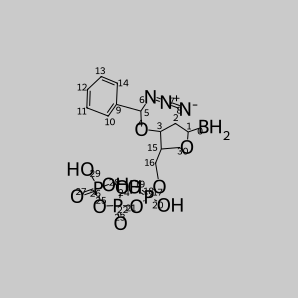 BC1CC(OC(N=[N+]=[N-])c2ccccc2)C(COP(=O)(O)OP(=O)(O)OP(=O)(O)O)O1